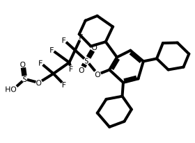 O=S(O)OC(F)(F)C(F)(F)C(F)(F)S(=O)(=O)Oc1c(C2CCCCC2)cc(C2CCCCC2)cc1C1CCCCC1